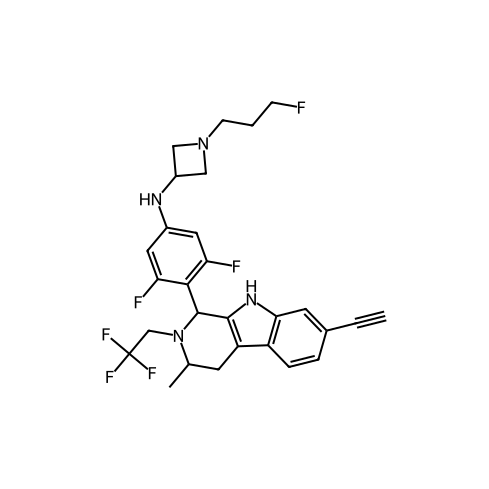 C#Cc1ccc2c3c([nH]c2c1)C(c1c(F)cc(NC2CN(CCCF)C2)cc1F)N(CC(F)(F)F)C(C)C3